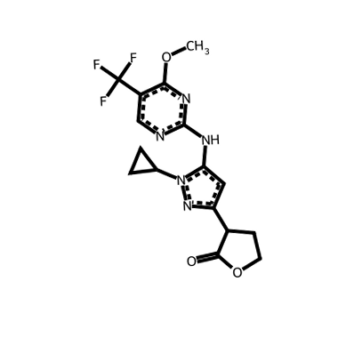 COc1nc(Nc2cc(C3CCOC3=O)nn2C2CC2)ncc1C(F)(F)F